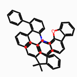 CC1(C)c2ccccc2-c2c(N(c3cccc(-c4ccccc4)c3-c3ccccc3-c3ccccc3)c3cccc4c3oc3ccccc34)cccc21